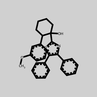 COc1cccc(C2CCCCC2(O)c2nc(-c3ccccc3)c(-c3ccccc3)o2)c1